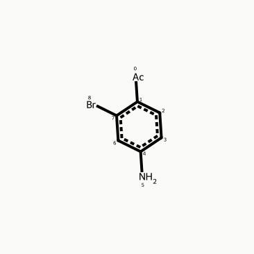 [CH2]C(=O)c1ccc(N)cc1Br